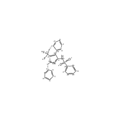 O=S(=O)(Nc1nn(Cc2ccccc2)c(C(F)(F)F)c1-c1ccccc1)c1ccccc1